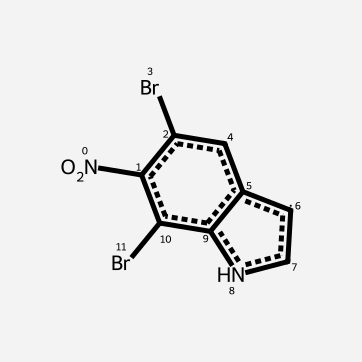 O=[N+]([O-])c1c(Br)cc2[c]c[nH]c2c1Br